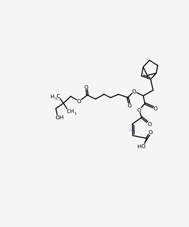 CC(C)(CO)COC(=O)CCCCC(=O)OC(CC1=CC2CCC1C2)C(=O)OC(=O)/C=C\C(=O)O